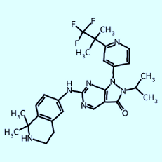 CC(C)n1c(=O)c2cnc(Nc3ccc4c(c3)CCNC4(C)C)nc2n1-c1ccnc(C(C)(C)C(F)(F)F)c1